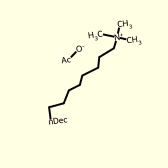 CC(=O)[O-].CCCCCCCCCCCCCCCCCC[N+](C)(C)C